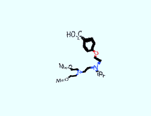 COCCN(CCOC)CCN(CCOc1ccc(C(=O)O)cc1)C(C)C